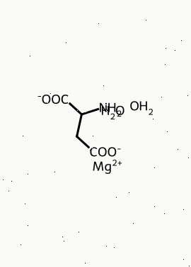 NC(CC(=O)[O-])C(=O)[O-].O.O.[Mg+2]